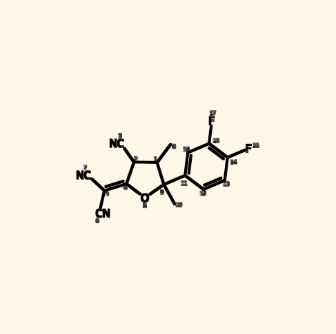 CC1C(C#N)C(=C(C#N)C#N)OC1(C)c1ccc(F)c(F)c1